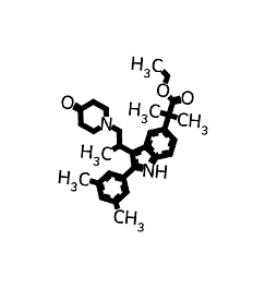 CCOC(=O)C(C)(C)c1ccc2[nH]c(-c3cc(C)cc(C)c3)c(C(C)CN3CCC(=O)CC3)c2c1